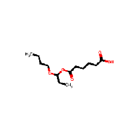 CCCCOC(CC)OC(=O)CCCCC(=O)O